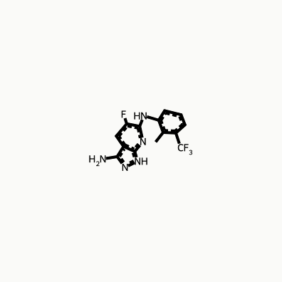 Cc1c(Nc2nc3[nH]nc(N)c3cc2F)cccc1C(F)(F)F